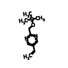 C=Cc1cnc(CO[Si](C)(C)C)nc1